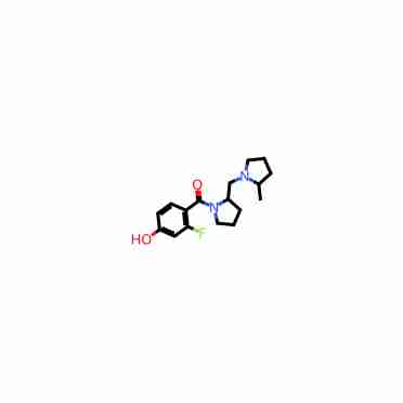 CC1CCCN1CC1CCCN1C(=O)c1ccc(O)cc1F